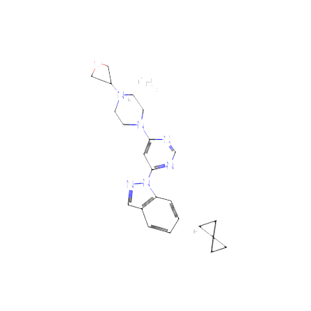 C[C@@H]1CN(c2cc(-n3ncc4ccc([C@@H]5CC56CC6)cc43)ncn2)CCN1C1COC1